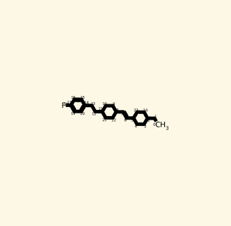 CCC1CCC(C=CC2CCC(CCc3ccc(F)cc3)CC2)CC1